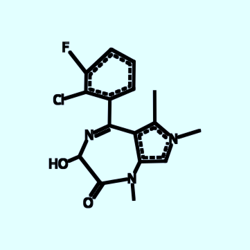 Cc1c2c(cn1C)N(C)C(=O)C(O)N=C2c1cccc(F)c1Cl